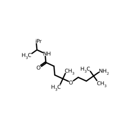 CC(C)C(C)NC(=O)CCC(C)(C)OCCC(C)(C)N